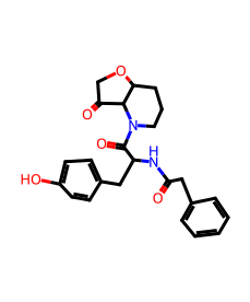 O=C(Cc1ccccc1)NC(Cc1ccc(O)cc1)C(=O)N1CCCC2OCC(=O)C21